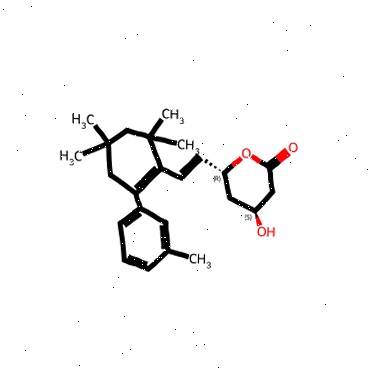 Cc1cccc(C2=C(C=C[C@H]3C[C@H](O)CC(=O)O3)C(C)(C)CC(C)(C)C2)c1